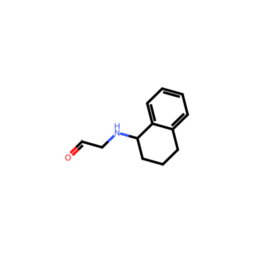 O=[C]CNC1CCCc2ccccc21